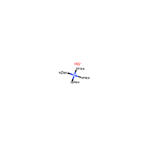 CCCCCCCCCC[N+](CCCCCC)(CCCCCC)CCCCCC.[OH-]